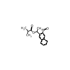 CC(C)C(=O)OC(C)c1cc2ccccc2cc1N=O